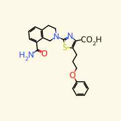 NC(=O)c1cccc2c1CN(c1nc(C(=O)O)c(CCCOc3ccccc3)s1)CC2